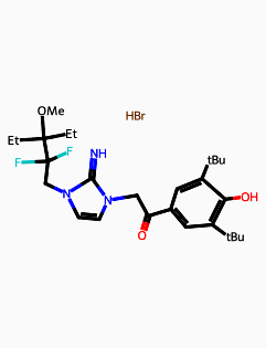 Br.CCC(CC)(OC)C(F)(F)Cn1ccn(CC(=O)c2cc(C(C)(C)C)c(O)c(C(C)(C)C)c2)c1=N